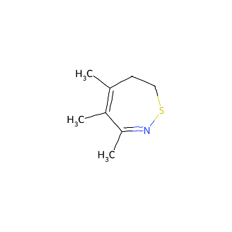 CC1=NSCCC(C)=C1C